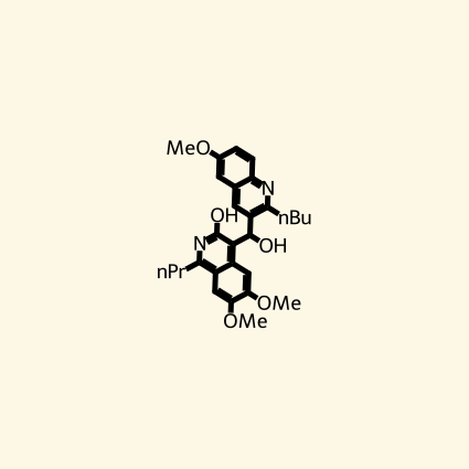 CCCCc1nc2ccc(OC)cc2cc1C(O)c1c(O)nc(CCC)c2cc(OC)c(OC)cc12